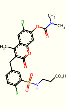 Cc1c(Cc2ccc(F)c(S(=O)(=O)NCCC(=O)O)c2)c(=O)oc2cc(OC(=O)N(C)C)c(Cl)cc12